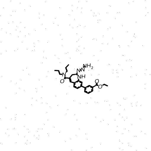 CCCN(CCC)C(=O)C1=Cc2ccc(-c3cccc(C(=O)OCC)c3)cc2NC(N=NN)C1